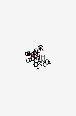 CN1CCC[C@H]1COc1cc(N2C3CCC2CN(C(=O)O)C3)c2c3c(c(-c4ccc(F)c5sc(NC(=O)OC(C)(C)C)c(C#N)c45)c(Cl)c2n1)COC3